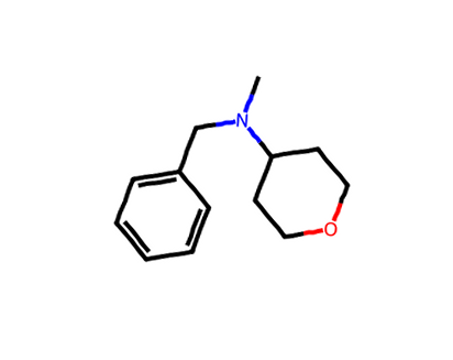 CN(Cc1ccccc1)C1CCOCC1